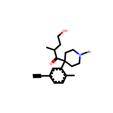 C#Cc1ccc(C)c(C2(C(=O)C(C)CCO)CCN(C(C)C)CC2)c1